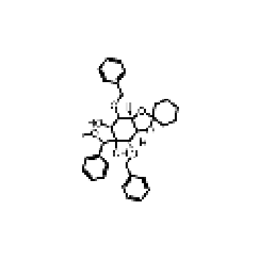 COC(c1ccccc1)[C@]1(O)[C@@H](O)[C@@H](OCc2ccccc2)[C@@H]2OC3(CCCCC3)O[C@H]2[C@@H]1OCc1ccccc1